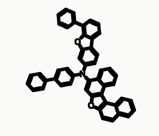 c1ccc(-c2ccc(N(c3ccc4c(c3)oc3c(-c5ccccc5)cccc34)c3cc4oc5ccc6ccccc6c5c4c4ccccc34)cc2)cc1